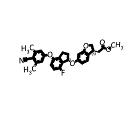 COC(=O)C[C@@H]1COc2cc(O[C@@H]3CCc4c(Oc5cc(C)c(C#N)c(C)c5)ccc(F)c43)ccc21